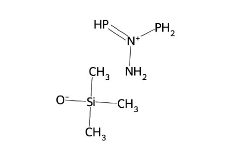 C[Si](C)(C)[O-].N[N+](=P)P